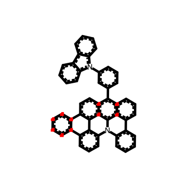 c1ccc(-c2ccccc2-c2c(-c3ccccc3)cccc2N(c2ccc(-c3cccc(-n4c5ccccc5c5ccccc54)c3)cc2)c2ccccc2-c2ccccc2)cc1